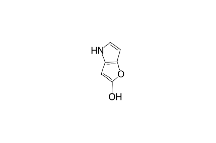 Oc1cc2[nH]ccc2o1